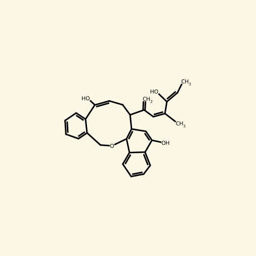 C=C(/C=C(C)\C(O)=C\C)C1C/C=C(/O)c2ccccc2COc2c1cc(O)c1ccccc21